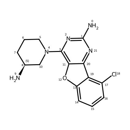 Nc1nc(N2CCC[C@H](N)C2)c2oc3cccc(Cl)c3c2n1